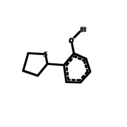 CCOc1ccccc1C1CCCS1